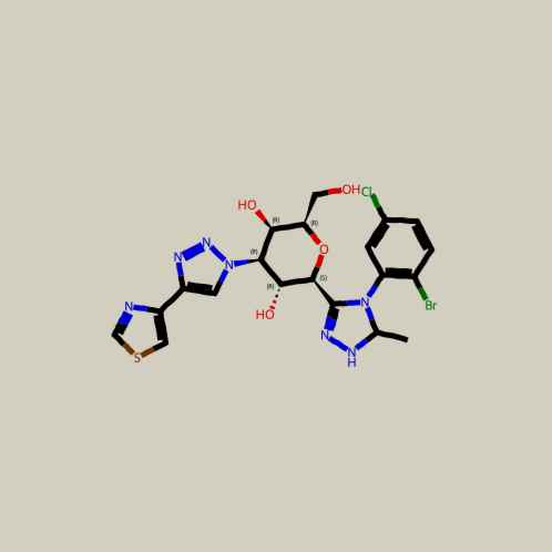 CC1NN=C([C@@H]2O[C@H](CO)[C@H](O)[C@H](n3cc(-c4cscn4)nn3)[C@H]2O)N1c1cc(Cl)ccc1Br